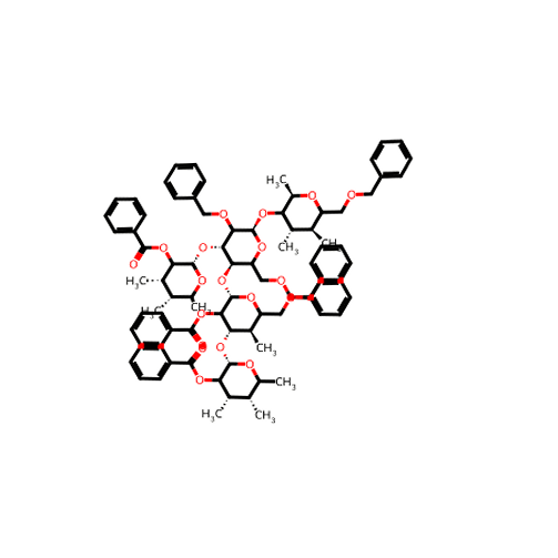 CC1O[C@@H](O[C@@H]2C(OC(=O)c3ccccc3)[C@H](O[C@@H]3C(COCc4ccccc4)O[C@H](OC4[C@@H](C)[C@H](C)C(COCc5ccccc5)O[C@@H]4C)C(OCc4ccccc4)[C@H]3O[C@@H]3OC(C)[C@H](C)[C@H](C)C3OC(=O)c3ccccc3)OC(COCc3ccccc3)[C@H]2C)C(OC(=O)c2ccccc2)[C@@H](C)[C@H]1C